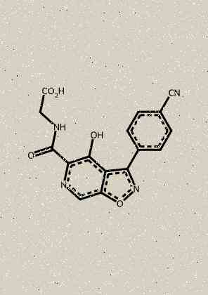 N#Cc1ccc(-c2noc3cnc(C(=O)NCC(=O)O)c(O)c23)cc1